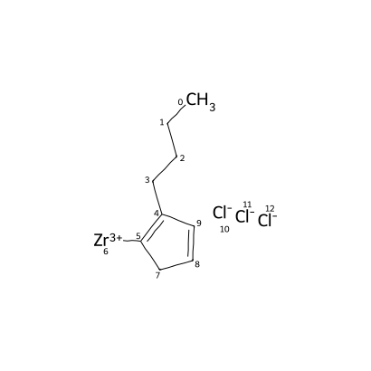 CCCCC1=[C]([Zr+3])CC=C1.[Cl-].[Cl-].[Cl-]